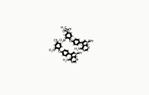 CC(C)n1cc(-c2ccc(Oc3ccc(C(F)(F)F)cc3[N+](=O)[O-])cc2)c2c(N)ncnc21.CC(C)n1cc(-c2ccc(Oc3ccc(S(C)(=O)=O)cc3[N+](=O)[O-])cc2)c2c(N)ncnc21